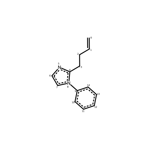 C=CC[CH]c1nccn1-c1ccccc1